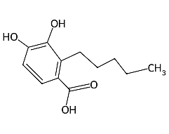 CCCCCc1c(C(=O)O)ccc(O)c1O